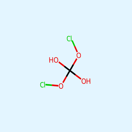 OC(O)(OCl)OCl